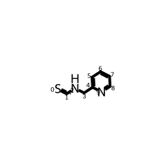 S=[C]NCc1ccccn1